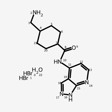 Br.Br.NCC1CCC(C(=O)Nc2ccnc3[nH]ncc23)CC1.O